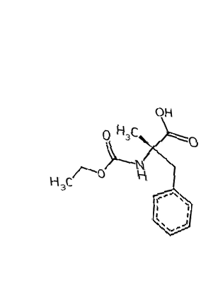 CCOC(=O)N[C@@](C)(Cc1ccccc1)C(=O)O